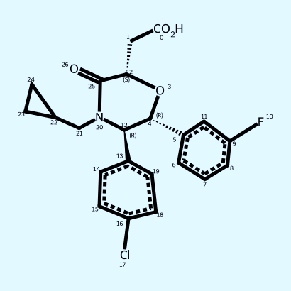 O=C(O)C[C@@H]1O[C@H](c2cccc(F)c2)[C@@H](c2ccc(Cl)cc2)N(CC2CC2)C1=O